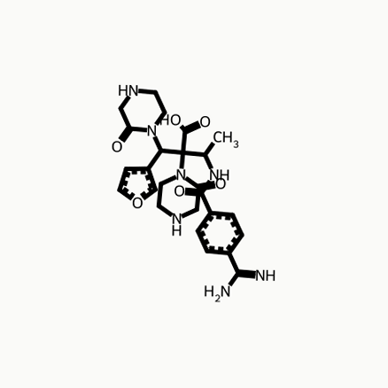 CC(NC(=O)c1ccc(C(=N)N)cc1)C(C(=O)O)(C(c1ccoc1)N1CCNCC1=O)N1CCNCC1=O